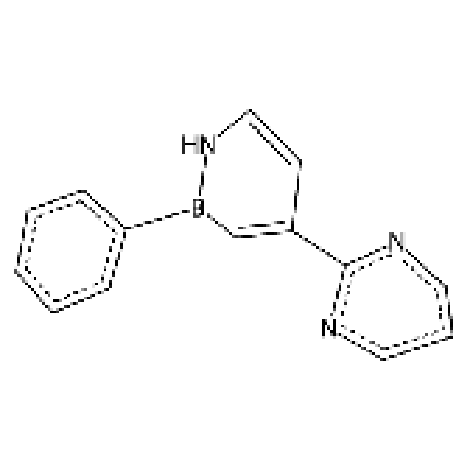 C1=CC(c2ncccn2)=CB(c2ccccc2)N1